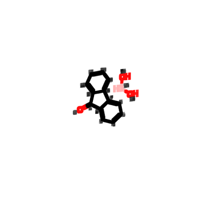 O=C1c2ccccc2-c2ccccc21.OBO